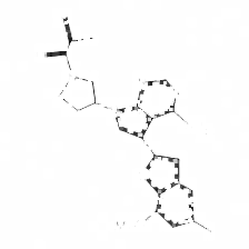 C=C(C)C(=O)N1CCC(n2cc(-c3cc4cc(C)cc(OC)c4s3)c3c(N)ncnc32)C1